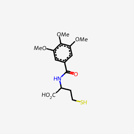 COc1cc(C(=O)NC(CCS)C(=O)O)cc(OC)c1OC